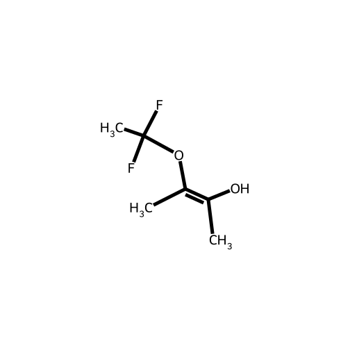 C/C(O)=C(\C)OC(C)(F)F